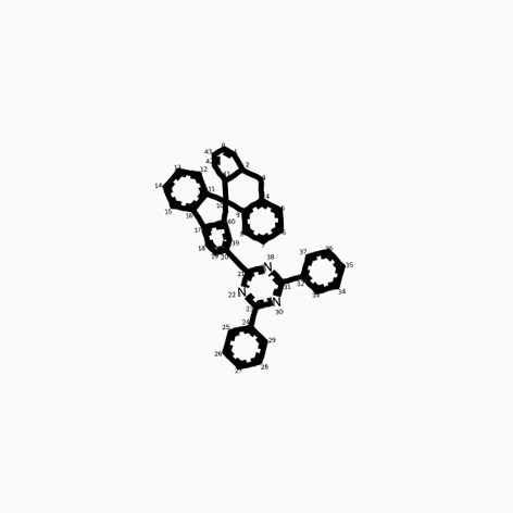 C1=CC2Cc3ccccc3C3(c4ccccc4-c4ccc(-c5nc(-c6ccccc6)nc(-c6ccccc6)n5)cc43)C2C=C1